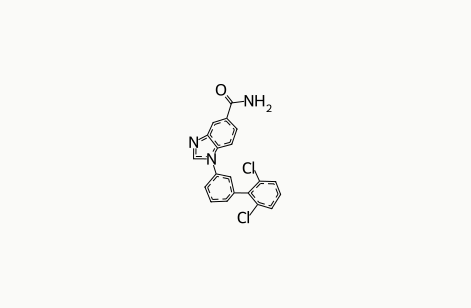 NC(=O)c1ccc2c(c1)ncn2-c1cccc(-c2c(Cl)cccc2Cl)c1